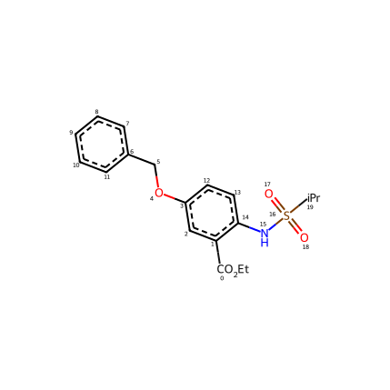 CCOC(=O)c1cc(OCc2ccccc2)ccc1NS(=O)(=O)C(C)C